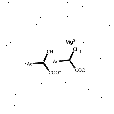 CC(=O)C(C)C(=O)[O-].CC(=O)C(C)C(=O)[O-].[Mg+2]